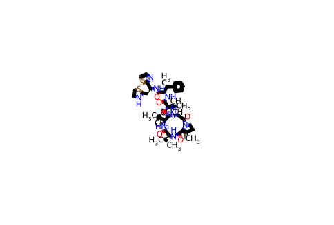 CC(C)[C@@H]1NC(=O)[C@@H]2[C@H](C)CCN2C(=O)CN/C(=N\C(C(=O)NC(C(=O)N[C@H](CC2NCCS2)c2nccs2)[C@@H](C)c2ccccc2)C(C)(C)C)C(C(C)(C)C)NC1=O